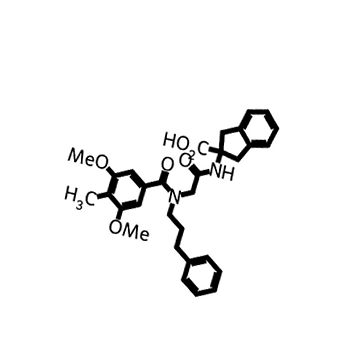 COc1cc(C(=O)N(CCCc2ccccc2)CC(=O)NC2(C(=O)O)Cc3ccccc3C2)cc(OC)c1C